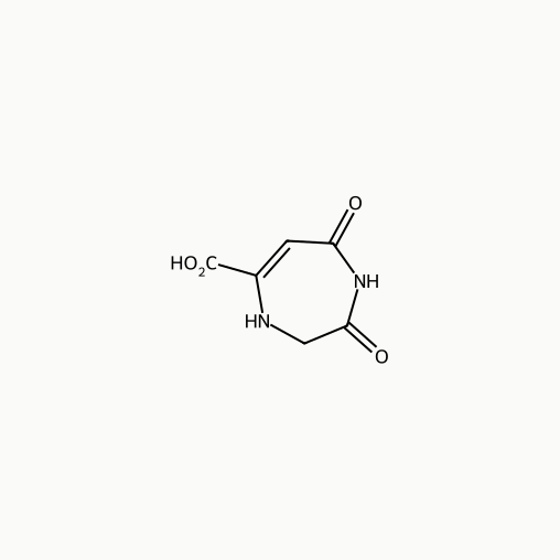 O=C1C=C(C(=O)O)NCC(=O)N1